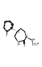 O=C(O)N[C@@H]1CC[C@@H](c2ccccc2F)CNC1=S